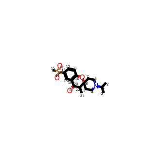 CC(C)N1CCC2(CC1)Oc1ccc(S(C)(=O)=O)cc1C(=O)C2C